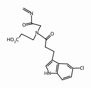 C=NC(=O)CN(CCC(=O)O)C(=O)CCc1c[nH]c2ccc(Cl)cc12